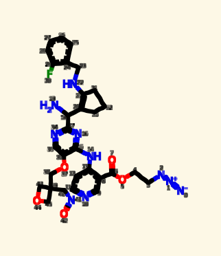 [N-]=[N+]=NCCOC(=O)c1cnccc1Nc1nc(C(N)C2=C(NCc3ccccc3F)CCC2)ncc1OCC1(CN=O)COC1